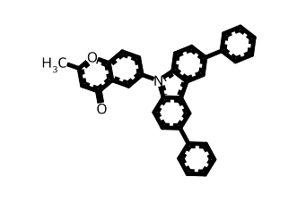 Cc1cc(=O)c2cc(-n3c4ccc(-c5ccccc5)cc4c4cc(-c5ccccc5)ccc43)ccc2o1